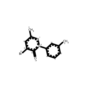 Cc1cccc(-n2nc(C)cc(Br)c2=O)c1